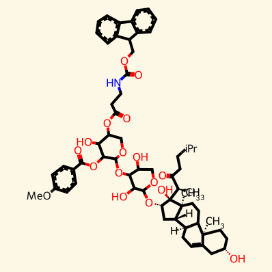 COc1ccc(C(=O)OC2C(OC3C(O)COC(O[C@H]4C[C@H]5[C@@H]6CC=C7C[C@@H](O)CC[C@]7(C)C6CC[C@]5(C)[C@@]4(O)[C@H](C)C(=O)CCC(C)C)C3O)OCC(OC(=O)CCNC(=O)OCC3c4ccccc4-c4ccccc43)C2O)cc1